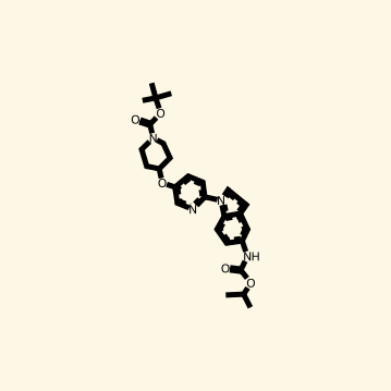 CC(C)OC(=O)Nc1ccc2c(ccn2-c2ccc(OC3CCN(C(=O)OC(C)(C)C)CC3)cn2)c1